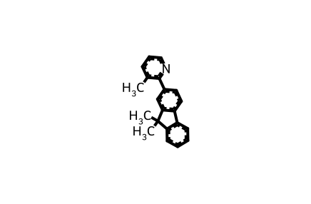 Cc1cccnc1-c1ccc2c(c1)C(C)(C)c1ccccc1-2